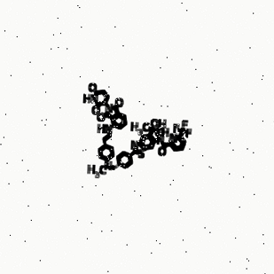 CN(C[C@H]1CC[C@H](c2nc3cc(C(C)(C)O)c(NC(=O)c4cccc(C(F)(F)F)n4)cc3s2)CC1)[C@H]1CC[C@H](CCNc2cccc3c2C(=O)N(C2CCC(=O)NC2=O)C3=O)CC1